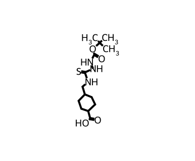 CC(C)(C)OC(=O)NNC(=S)NCC1CCC(C(=O)O)CC1